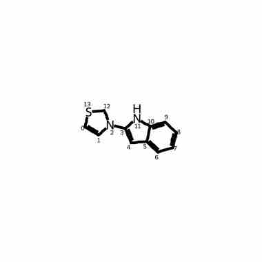 C1=CN(c2cc3ccccc3[nH]2)CS1